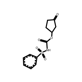 O=C1CCC(OC(=O)NS(=O)(=O)c2ccccc2)C1